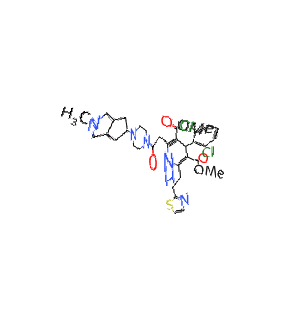 COC(=O)C1=C(CCc2nccs2)NC(CC(=O)N2CCN(C3CC4CN(C)CC4C3)CC2)=C(C(=O)OC)C1c1c(Cl)cccc1Cl